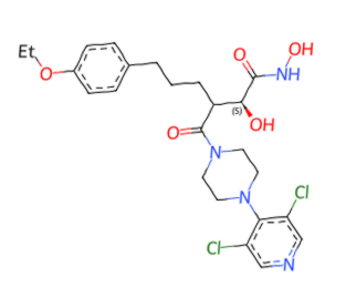 CCOc1ccc(CCCC(C(=O)N2CCN(c3c(Cl)cncc3Cl)CC2)[C@H](O)C(=O)NO)cc1